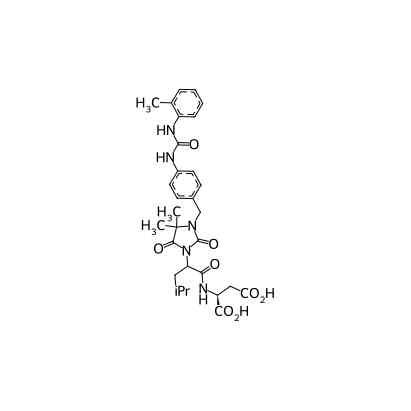 Cc1ccccc1NC(=O)Nc1ccc(CN2C(=O)N(C(CC(C)C)C(=O)N[C@@H](CC(=O)O)C(=O)O)C(=O)C2(C)C)cc1